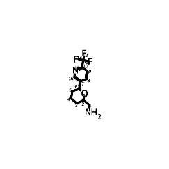 NCC1CCCC(c2ccc(C(F)(F)F)nc2)O1